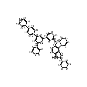 C1=CC2c3c(ccc4c3OC(c3ccccc3)N4)N(c3cccc(-c4cc(-c5ccc(-c6ccncc6)cc5)cc(-c5ccncc5)n4)c3)C2CC1